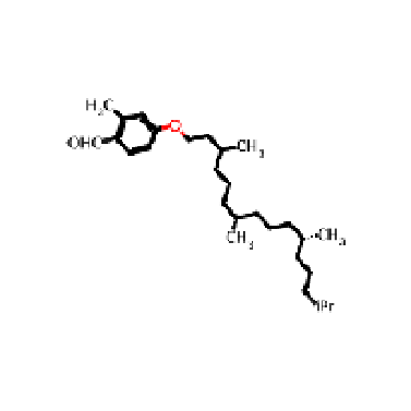 Cc1cc(OCCC(C)CCC[C@H](C)CCC[C@H](C)CCCC(C)C)ccc1[C]=O